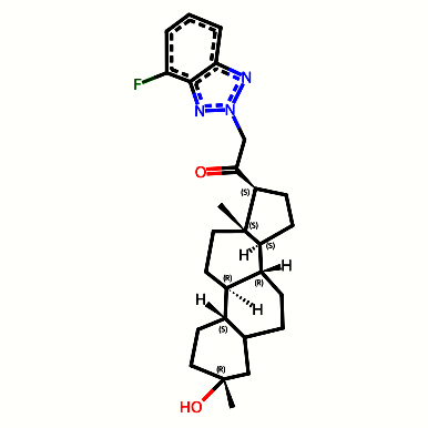 C[C@@]1(O)CC[C@H]2C(CC[C@@H]3[C@@H]2CC[C@]2(C)[C@@H](C(=O)Cn4nc5cccc(F)c5n4)CC[C@@H]32)C1